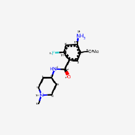 COc1cc(C(=O)NC2CCN(C)CC2)c(F)cc1N